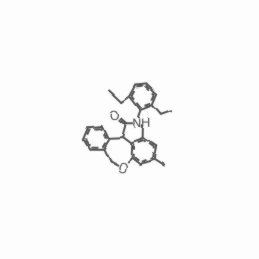 CCc1cccc(CC)c1NC(=O)C1c2ccccc2COc2cc(C)cc(C)c21